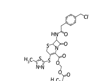 Cc1nnc(SC2=C(C(=O)OCOC(=O)C(C)(C)C)N3C(=O)C(NC(=O)Cc4ccc(CCl)cc4)C3SC2)s1